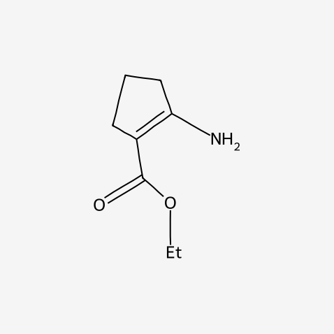 CCOC(=O)C1=C(N)CCC1